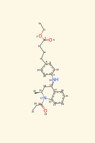 CCOC(=O)CCCc1ccc(N[C@@H]2C[C@H](C)N(C(=O)CC)c3ccccc32)cc1